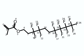 C=C(C)C(=O)OCCC(F)(F)C(F)(F)CCC(F)(F)C(F)(F)C(F)(F)C(F)(F)F